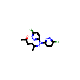 CC(=O)CCC(C)=NN(c1ccc(Cl)nn1)c1ccc(Cl)nn1